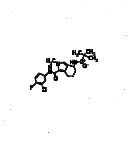 Cn1cc2c(c1C(=O)Nc1ccc(F)c(Cl)c1)CCCC2N[S+]([O-])C(C)(C)C